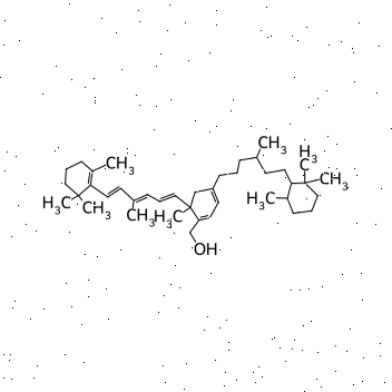 CC1=C(/C=C/C(C)=C/C=C/C2(C)CC(CCCC(C)CCC3C(C)CCCC3(C)C)=CC=C2CO)C(C)(C)CCC1